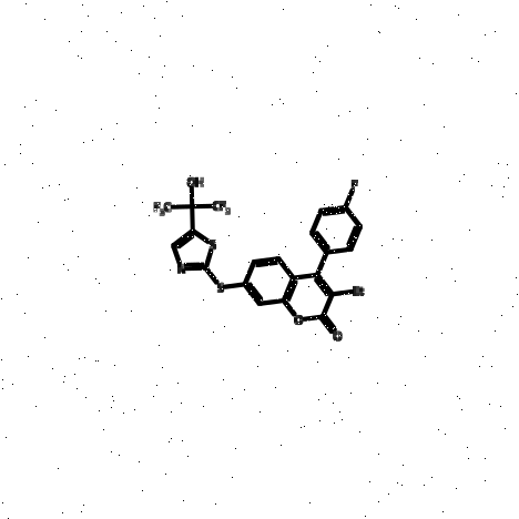 CCc1c(-c2ccc(F)cc2)c2ccc(Sc3ncc(C(O)(C(F)(F)F)C(F)(F)F)s3)cc2oc1=O